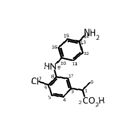 CC(C(=O)O)c1ccc(Cl)c(Nc2ccc(N)cc2)c1